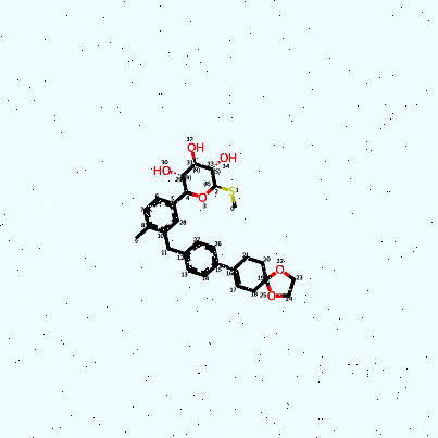 CS[C@H]1OC(c2ccc(C)c(Cc3ccc(C4=CCC5(CC4)OCCO5)cc3)c2)[C@H](O)[C@@H](O)[C@@H]1O